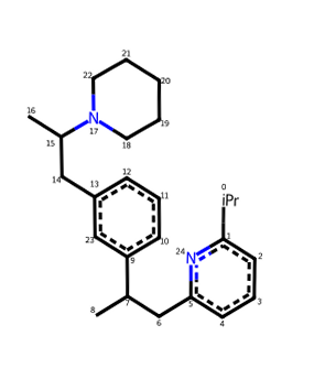 CC(C)c1cccc(CC(C)c2cccc(CC(C)N3CCCCC3)c2)n1